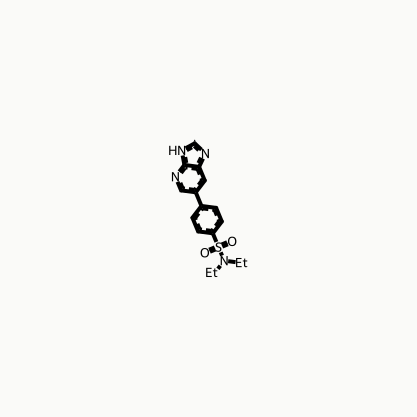 CCN(CC)S(=O)(=O)c1ccc(-c2cnc3[nH][c]nc3c2)cc1